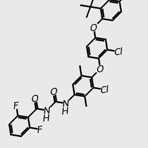 Cc1ccc(Oc2ccc(Oc3c(C)cc(NC(=O)NC(=O)c4c(F)cccc4F)c(C)c3Cl)c(Cl)c2)c(C(C)(C)C)c1